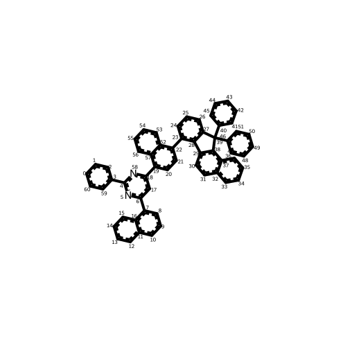 c1ccc(-c2nc(-c3cccc4ccccc34)cc(-c3ccc(-c4cccc5c4-c4ccc6ccccc6c4C5(c4ccccc4)c4ccccc4)c4ccccc34)n2)cc1